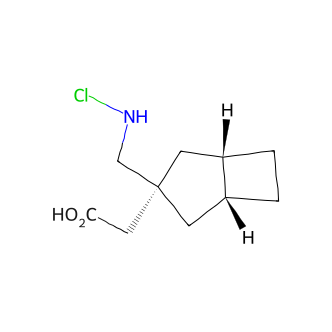 O=C(O)C[C@@]1(CNCl)C[C@H]2CC[C@H]2C1